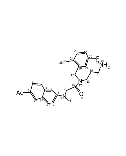 CC(=O)c1ccc2cc(N(C)CC(=O)N(CCCN)Cc3cc(F)ccc3F)ccc2c1